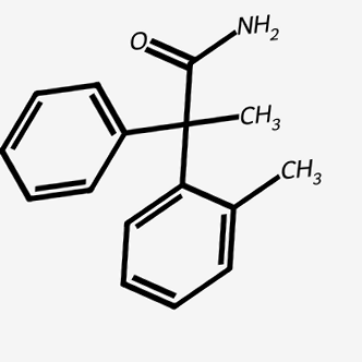 Cc1ccccc1C(C)(C(N)=O)c1ccccc1